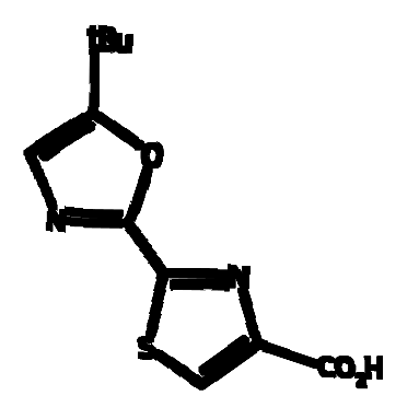 CC(C)(C)c1cnc(-c2nc(C(=O)O)cs2)o1